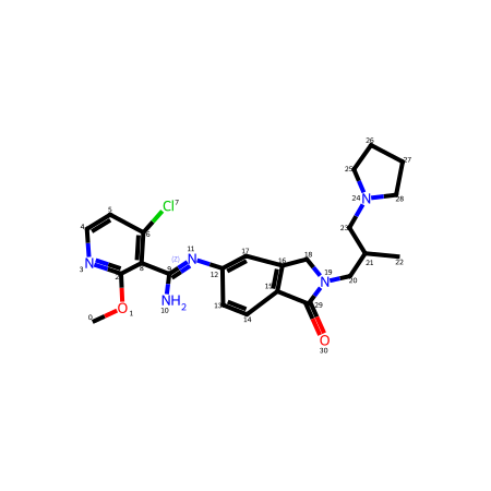 COc1nccc(Cl)c1/C(N)=N/c1ccc2c(c1)CN(CC(C)CN1CCCC1)C2=O